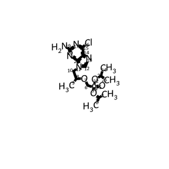 CC(C)OP(=O)(COC(C)Cn1cnc2c(Cl)nc(N)nc21)OC(C)C